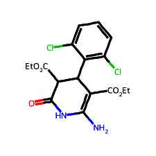 CCOC(=O)C1=C(N)NC(=O)C(C(=O)OCC)C1c1c(Cl)cccc1Cl